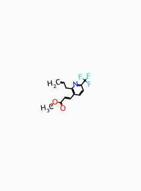 C=CCc1nc(C(F)(F)F)ccc1/C=C/C(=O)OC